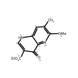 CCOC(=O)c1c[nH]c2cc(C)c(OC)nc2c1=O